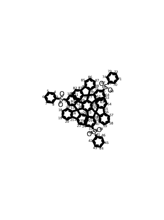 O=S(=O)(c1ccccc1)c1ccc2c(c1)C1(c3ccccc3-c3ccccc31)c1c-2c2c(c3c1-c1ccc(S(=O)(=O)c4ccccc4)cc1C31c3ccccc3-c3ccccc31)-c1ccc(S(=O)(=O)c3ccccc3)cc1C21c2ccccc2-c2ccccc21